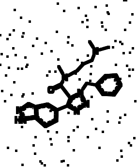 CN(C)CCCN(C)C(=O)c1c(-c2ccc3[nH]ncc3c2)nnn1Cc1ccccc1